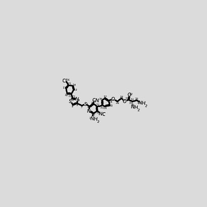 [C-]#[N+]c1c(N)nc(SCc2csc(-c3ccc(Cl)cc3)n2)c(C#N)c1-c1ccc(OCCOC(=O)[C@@H](N)CN)cc1